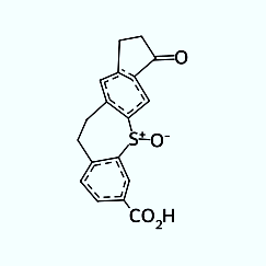 O=C(O)c1ccc2c(c1)[S+]([O-])c1cc3c(cc1CC2)CCC3=O